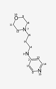 c1cc([N]CCCN2CCOCC2)ccn1